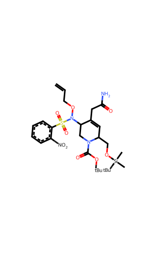 C=CCON(C1CN(C(=O)OC(C)(C)C)C(CO[Si](C)(C)C(C)(C)C)C=C1CC(N)=O)S(=O)(=O)c1ccccc1[N+](=O)[O-]